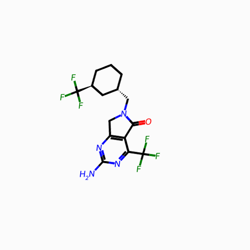 Nc1nc2c(c(C(F)(F)F)n1)C(=O)N(C[C@H]1CCC[C@H](C(F)(F)F)C1)C2